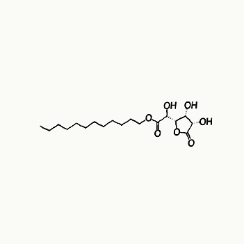 CCCCCCCCCCCCOC(=O)C(O)[C@H]1OC(=O)[C@@H](O)[C@H]1O